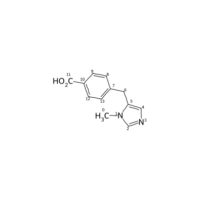 Cn1cncc1Cc1ccc(C(=O)O)cc1